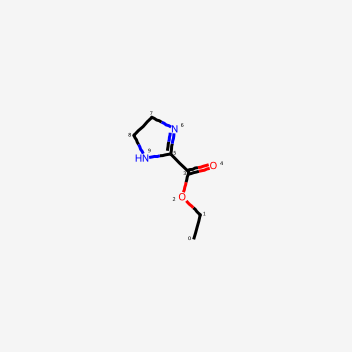 CCOC(=O)C1=NCCN1